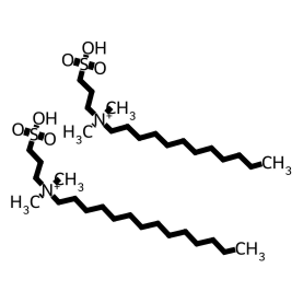 CCCCCCCCCCCCCC[N+](C)(C)CCCS(=O)(=O)O.CCCCCCCCCCCC[N+](C)(C)CCCS(=O)(=O)O